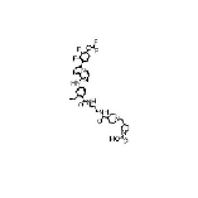 CCc1cc(Nc2nccn3c(-c4ccc(OC(F)F)c(F)c4F)cnc23)ccc1C(=O)NCCCNC(=O)C1CCN(CC2CCN(C(=O)O)C2)CC1